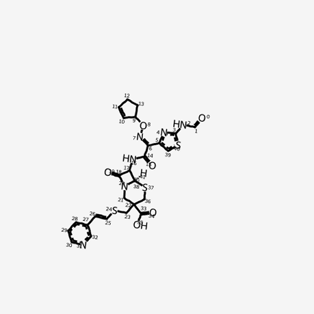 O=CNc1nc(C(=NOC2C=CCC2)C(=O)NC2C(=O)N3CC(CSC=Cc4cccnc4)(C(=O)O)CS[C@H]23)cs1